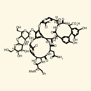 CN[C@H](CC(C)C)C(=O)NC1C(=O)NC(CC(N)=O)C(=O)NC2C(=O)N[C@H]3C(=O)N[C@H](C(=O)NC(C(=O)O)c4cc(O)cc(O)c4-c4cc3ccc4O)[C@H](O)c3ccc(c(Cl)c3)Oc3cc2cc(c3O[C@@H]2O[C@H](CO)C(O[C@@H]3O[C@H](CO)[C@H](O)[C@H](O)C3O)C(O)C2O)Oc2ccc(cc2Cl)C1O